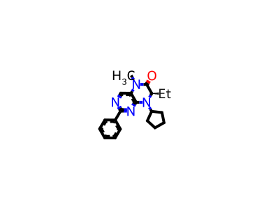 CC[C@@H]1C(=O)N(C)c2cnc(-c3ccccc3)nc2N1C1CCCC1